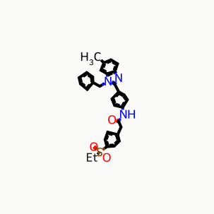 CCS(=O)(=O)c1ccc(CC(=O)Nc2ccc(-c3nc4ccc(C)cc4n3Cc3ccccc3)cc2)cc1